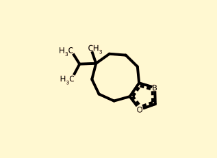 CC(C)C1(C)CCCc2bcoc2CCC1